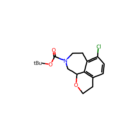 CC(C)(C)OC(=O)N1CCc2c(Cl)ccc3c2C(C1)OCC3